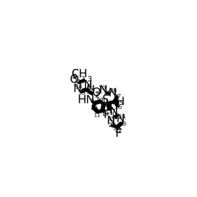 COc1cnc(C(=O)Nc2ccc(F)c([C@]34CN(c5ncc(F)cn5)C[C@@H]3CN=C(N)S4)c2)cn1